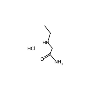 CCNCC(N)=O.Cl